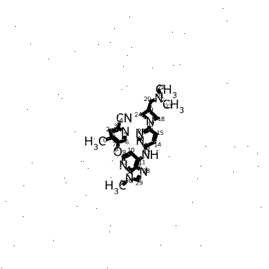 Cc1cc(C#N)ncc1Oc1cc(Nc2ccc(N3CC(CN(C)C)C3)nn2)c2ncn(C)c2n1